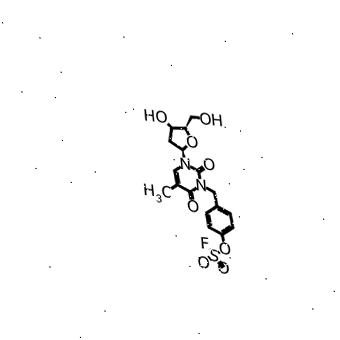 Cc1cn([C@H]2CC(O)[C@@H](CO)O2)c(=O)n(Cc2ccc(OS(=O)(=O)F)cc2)c1=O